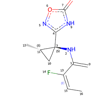 C=C(N[C@@]1(c2noc(=O)[nH]2)C[C@@H]1C)/C(F)=C\C